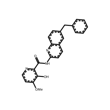 COc1ccnc(C(=O)Nc2ccc3cc(Cc4ccccc4)ccc3n2)c1O